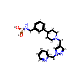 O=[SH](=O)NCc1cccc(C2CCN(Cc3cnn(Cc4ccccn4)c3)CC2)c1